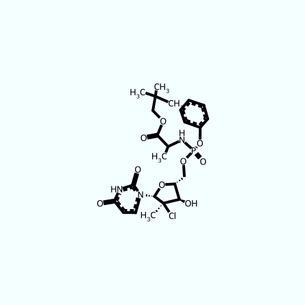 CC(NP(=O)(OC[C@H]1O[C@@H](n2ccc(=O)[nH]c2=O)[C@](C)(Cl)[C@@H]1O)Oc1ccccc1)C(=O)OCC(C)(C)C